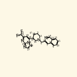 C[C@@H]1CCN(Cc2cc3ccccc3cn2)C[C@H]1c1cc(C(F)F)nc2ncnn12